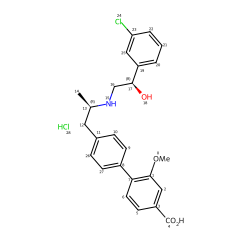 COc1cc(C(=O)O)ccc1-c1ccc(C[C@@H](C)NC[C@H](O)c2cccc(Cl)c2)cc1.Cl